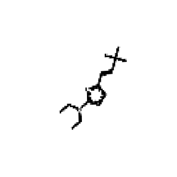 CCN(CC)c1ccc(/C=C/C(C)(C)C)o1